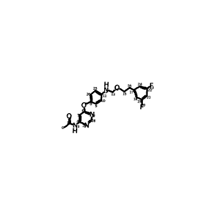 CC(=O)Nc1cc(Oc2ccc(NCOCCc3cc(F)cc(F)c3)cc2)ncn1